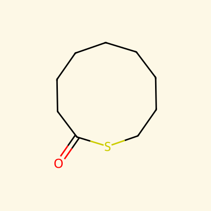 O=C1CCCCCCCCS1